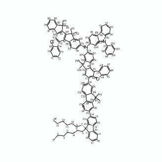 CCCCCCCC1(CCCCCCC)c2ccccc2-c2ccc(-c3ccc4c(c3)C(C)(C)c3cc(-c5cc6c(c7c5oc5ccccc57)-c5ccc(N(c7ccc8c(c7)C(C)(C)c7c9c(c%10oc%11ccccc%11c%10c7-8)-c7ccccc7C9(C)C)c7ccc8c9ccccc9n(-c9ccccc9)c8c7)cc5C6(C)C)ccc3-4)cc21